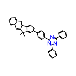 CC1(C)c2cc(-c3ccc(-c4nc(-c5ccccc5)nc(-c5ccccc5)n4)cc3)ccc2-c2cc3ccccc3cc21